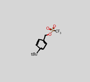 CC(C)(C)c1ccc(COS(=O)(=O)C(F)(F)F)cc1